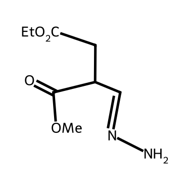 CCOC(=O)CC(C=NN)C(=O)OC